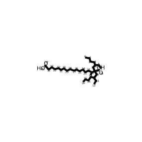 CCCCC(CC)CC(CC(CC)CCCC)(C(=O)O)C(C)CCCCCCCCCCCCCCC(=O)O